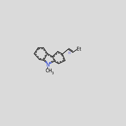 CC/C=C/c1ccc2c(c1)c1ccccc1n2C